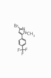 Cn1nc(Br)cc1-c1ccc(C(F)(F)F)cc1